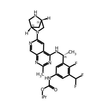 Cc1nc(N[C@H](C)c2cc(NC(=O)OC(C)C)cc(C(F)F)c2F)c2cc(N3C[C@@H]4C[C@H]3CN4)ncc2n1